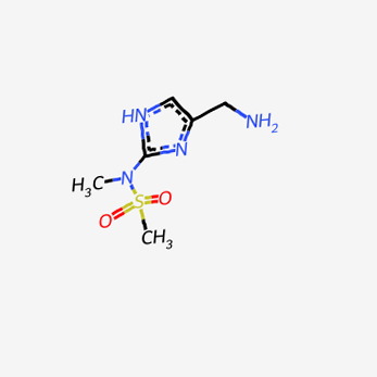 CN(c1nc(CN)c[nH]1)S(C)(=O)=O